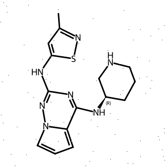 Cc1cc(Nc2nc(N[C@@H]3CCCNC3)c3cccn3n2)sn1